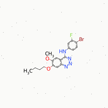 CCCCOc1cc2nnnc(Nc3ccc(Br)c(F)c3)c2cc1OC